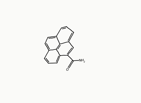 NC(=O)c1cc2cccc3ccc4cccc1c4c32